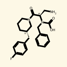 NC[C@H](C(=O)N1CCC[C@@H](Cc2ccc(F)cc2)C1)N(Cc1ccccc1)C(=O)O